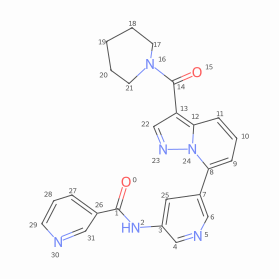 O=C(Nc1cncc(-c2cccc3c(C(=O)N4CCCCC4)cnn23)c1)c1cccnc1